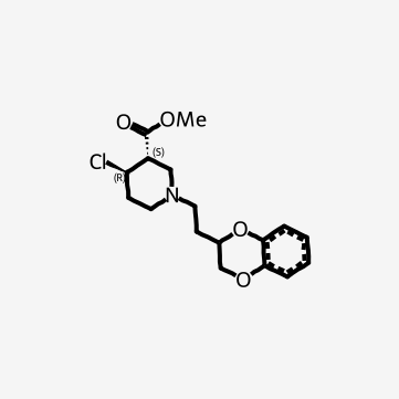 COC(=O)[C@@H]1CN(CCC2COc3ccccc3O2)CC[C@H]1Cl